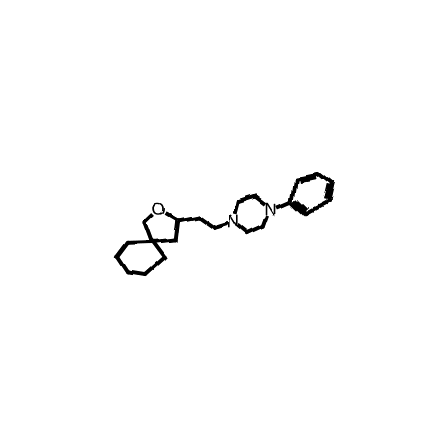 c1ccc(N2CCN(CCC3CC4(CCCCC4)CO3)CC2)cc1